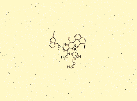 C#Cc1c(F)ccc2cccc(-c3ncc4c(N(C)[C@@H]5CCN[C@@H]5COC)nc(OC[C@@]56CCCN5C[C@H](F)C6)nc4c3F)c12